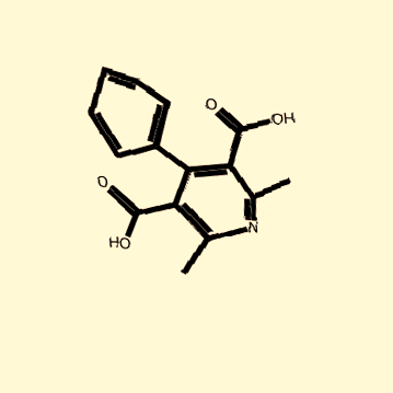 Cc1nc(C)c(C(=O)O)c(-c2ccccc2)c1C(=O)O